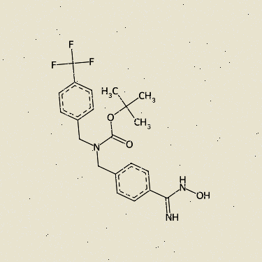 CC(C)(C)OC(=O)N(Cc1ccc(C(=N)NO)cc1)Cc1ccc(C(F)(F)F)cc1